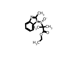 CCOC(=O)C(C)(C)[S+]([O-])n1c(C)nc2ccccc21